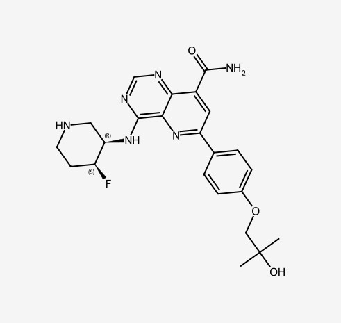 CC(C)(O)COc1ccc(-c2cc(C(N)=O)c3ncnc(N[C@@H]4CNCC[C@@H]4F)c3n2)cc1